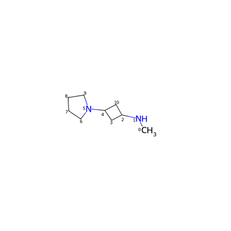 CNC1CC(N2CCCC2)C1